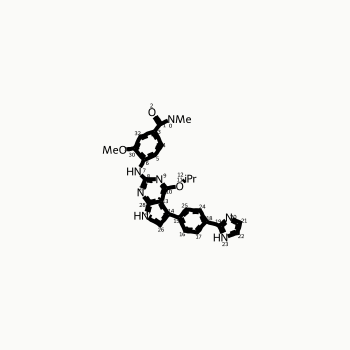 CNC(=O)c1ccc(Nc2nc(OC(C)C)c3c(-c4ccc(-c5ncc[nH]5)cc4)c[nH]c3n2)c(OC)c1